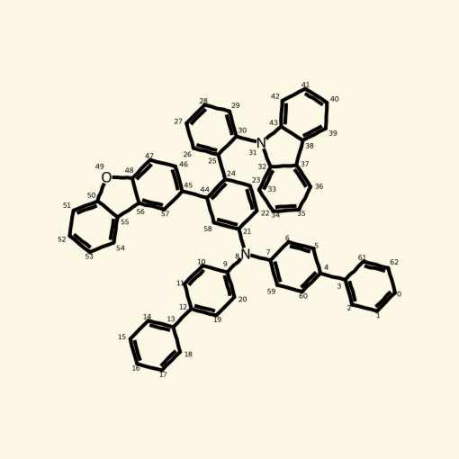 c1ccc(-c2ccc(N(c3ccc(-c4ccccc4)cc3)c3ccc(-c4ccccc4-n4c5ccccc5c5ccccc54)c(-c4ccc5oc6ccccc6c5c4)c3)cc2)cc1